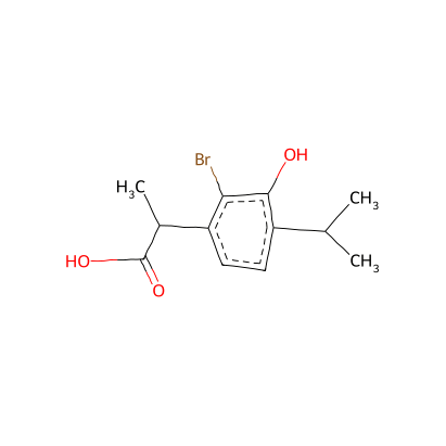 CC(C)c1ccc(C(C)C(=O)O)c(Br)c1O